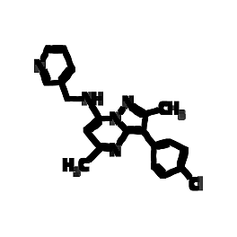 Cc1cc(NCc2cccnc2)n2nc(C)c(-c3ccc(Cl)cc3)c2n1